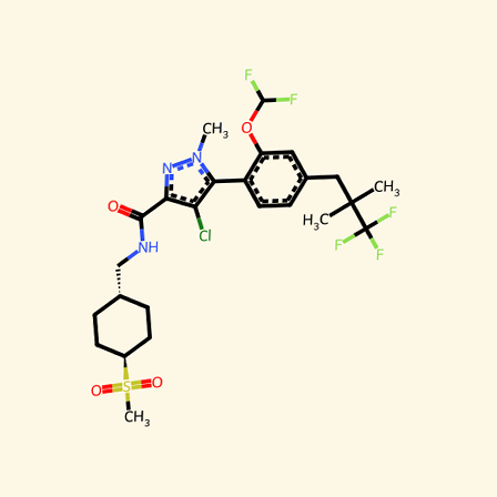 Cn1nc(C(=O)NC[C@H]2CC[C@H](S(C)(=O)=O)CC2)c(Cl)c1-c1ccc(CC(C)(C)C(F)(F)F)cc1OC(F)F